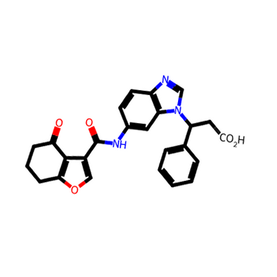 O=C(O)CC(c1ccccc1)n1cnc2ccc(NC(=O)c3coc4c3C(=O)CCC4)cc21